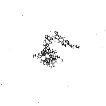 C=C[C@@]1(C)CC(=O)[C@]2(O)[C@@]3(C)[C@@H](O)CCC(C)(C)[C@@H]3[C@H](OC(=O)NCCN(C)C(=O)OCc3cc(=O)oc4cc(OCOC)c(Br)cc34)[C@H](OC(C)=O)[C@@]2(C)O1